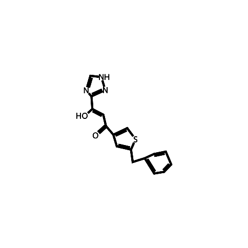 O=C(C=C(O)c1nc[nH]n1)c1csc(Cc2ccccc2)c1